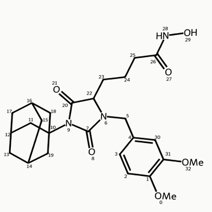 COc1ccc(CN2C(=O)N(C34CC5CC(CC(C5)C3)C4)C(=O)C2CCCC(=O)NO)cc1OC